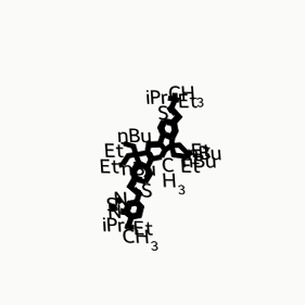 CCCCC(CC)CC1(CC(CC)CCCC)C2=C(c3cc4sc(-c5ccc(C(C)(CC)C(C)C)c6nsnc56)cc4cc31)C(C)C1C(=C2)c2cc3sc(C(C)(CC)C(C)C)cc3cc2C1(CC(CC)CCCC)CC(CC)CCCC